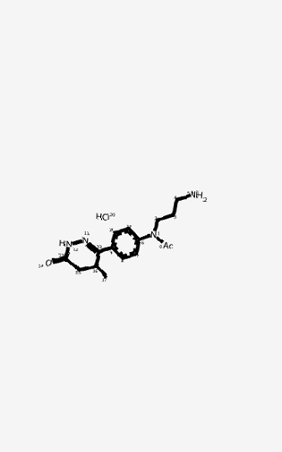 CC(=O)N(CCCN)c1ccc(C2=NNC(=O)CC2C)cc1.Cl